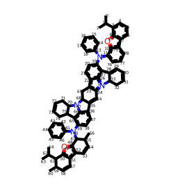 CC(C)c1cccc2c1oc1c(N(c3ccccc3)c3ccc4c5c(n6c4c3C3=CC=CCC36)C=C3c4ccc(N(c6ccccc6)C6c7oc8c(c7C=CC6C)C=CC(C)C8C(C)C)c6c4N(C3C5)C3CC=CCC63)cccc12